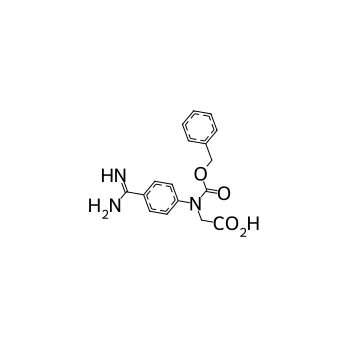 N=C(N)c1ccc(N(CC(=O)O)C(=O)OCc2ccccc2)cc1